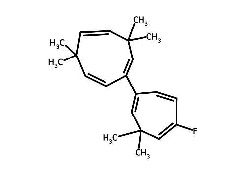 CC1(C)C=C(F)C=CC(C2=C/C(C)(C)/C=C\C(C)(C)/C=C\2)=C1